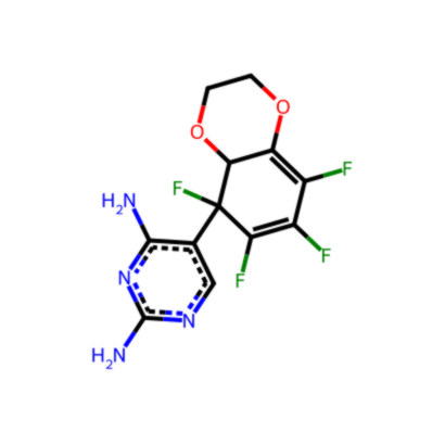 Nc1ncc(C2(F)C(F)=C(F)C(F)=C3OCCOC32)c(N)n1